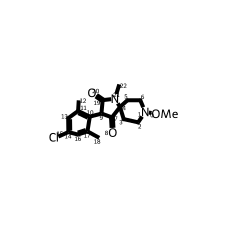 CON1CCC2(CC1)C(=O)C(c1c(C)cc(Cl)cc1C)C(=O)N2C